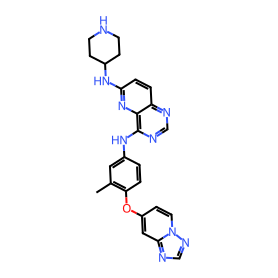 Cc1cc(Nc2ncnc3ccc(NC4CCNCC4)nc23)ccc1Oc1ccn2ncnc2c1